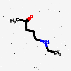 CCNCCCC(C)=O